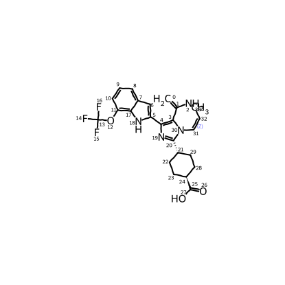 C=C(N)c1c(-c2cc3cccc(OC(F)(F)F)c3[nH]2)nc([C@H]2CC[C@H](C(=O)O)CC2)n1/C=C\C